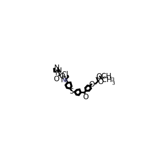 CC1(C)OCC(COc2ccc(C(=O)c3ccc(Sc4ccc(/C(CCl)=N/OC(=O)n5ccnn5)cc4)cc3)cc2)O1